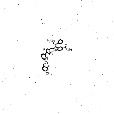 COC[C@@H](c1ccccc1)n1c(Cc2cc(F)c(-c3cccc(OCc4ccc(C)cc4F)n3)cc2F)nc2ccc(C(=O)O)cc21